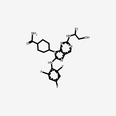 CCC(CO)Nc1ncc2nc(Nc3c(F)cc(F)cc3F)n(C3CCC(C(N)=O)CC3)c2n1